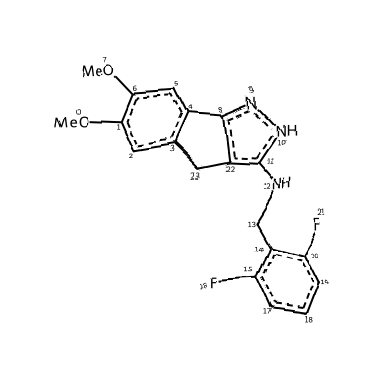 COc1cc2c(cc1OC)-c1n[nH]c(NCc3c(F)cccc3F)c1C2